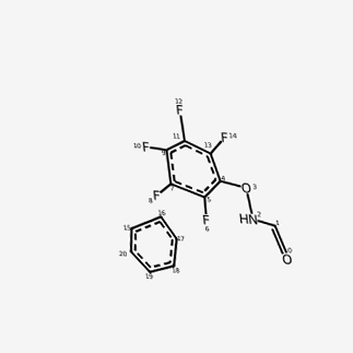 O=CNOc1c(F)c(F)c(F)c(F)c1F.c1ccccc1